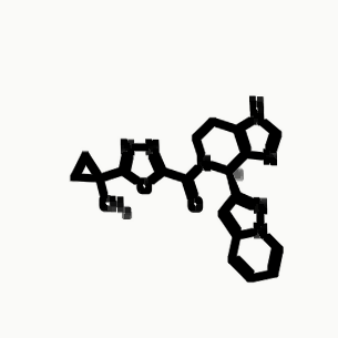 CC1(c2nnc(C(=O)N3CCc4[nH]cnc4[C@H]3c3cc4ccccn4n3)o2)CC1